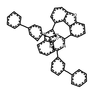 c1ccc(-c2ccc(-c3nc(-c4cccc(-c5ccccc5)c4)nc(-c4cccc5oc6cccc(-c7nc8ccccc8o7)c6c45)n3)cc2)cc1